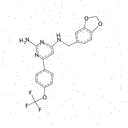 Nc1nc(NCc2ccc3c(c2)OCO3)cc(-c2ccc(OC(F)(F)F)cc2)n1